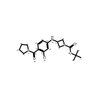 CC(C)(C)OC(=O)N1CC(Nc2ccc(C(=O)N3CCCC3)c(Cl)c2)C1